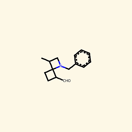 CC1CN(Cc2ccccc2)C12CCC2C=O